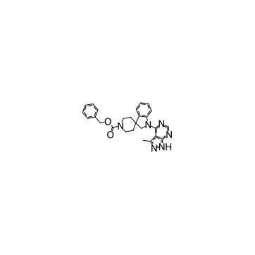 Cc1n[nH]c2ncnc(N3CC4(CCN(C(=O)OCc5ccccc5)CC4)c4ccccc43)c12